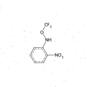 O=[N+]([O-])c1ccccc1NOC(F)(F)F